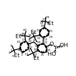 CCC(C)(C)c1ccc(Cc2c(C(C)(C)CC)ccc(OP(O)O)c2-c2ccc(C(C)(C)CC)cc2C(C)(C)CC)c(C(C)(C)CC)c1